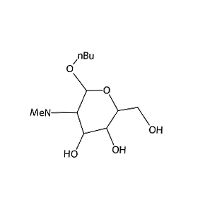 CCCCOC1OC(CO)C(O)C(O)C1NC